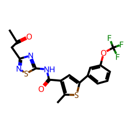 CC(=O)Cc1nsc(NC(=O)c2cc(-c3cccc(OC(F)(F)F)c3)sc2C)n1